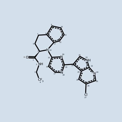 O=C(NCC(F)(F)F)[C@H]1CCc2ccccc2N1c1ccnc(-c2c[nH]c3ncc(Cl)cc23)n1